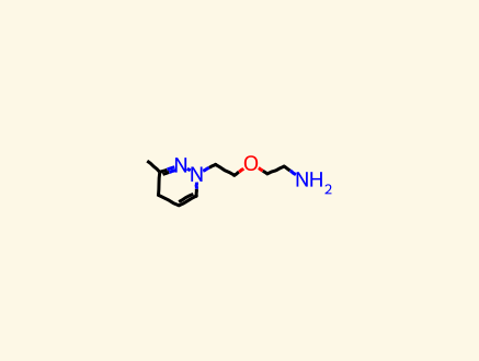 CC1=NN(CCOCCN)C=CC1